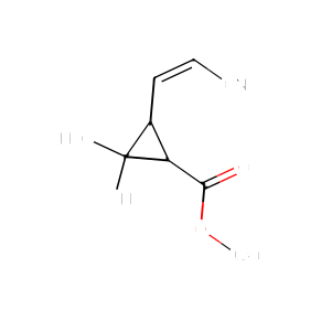 CC(C)(C)OC(=O)C1C(/C=C\C#N)C1(C)C